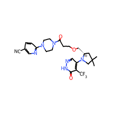 CC1(C)C[C@@H](COCCC(=O)N2CCN(c3ccc(C#N)cn3)CC2)N(c2cn[nH]c(=O)c2C(F)(F)F)C1